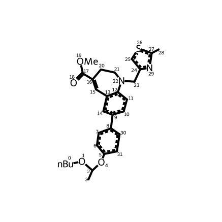 CCCCOC(C)Oc1ccc(-c2ccc3c(c2)C=C(C(=O)OC)CCN3Cc2csc(C)n2)cc1